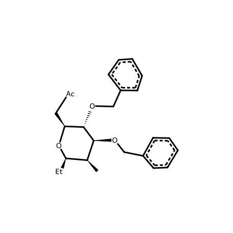 CC[C@H]1O[C@@H](CC(C)=O)[C@H](OCc2ccccc2)[C@@H](OCc2ccccc2)[C@H]1C